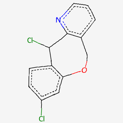 Clc1ccc2c(c1)OCc1cccnc1C2Cl